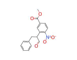 COC(=O)c1ccc([N+](=O)[O-])c(C(C=O)Cc2ccccc2)c1